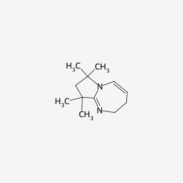 CC1(C)CC(C)(C)N2C=CCCN=C21